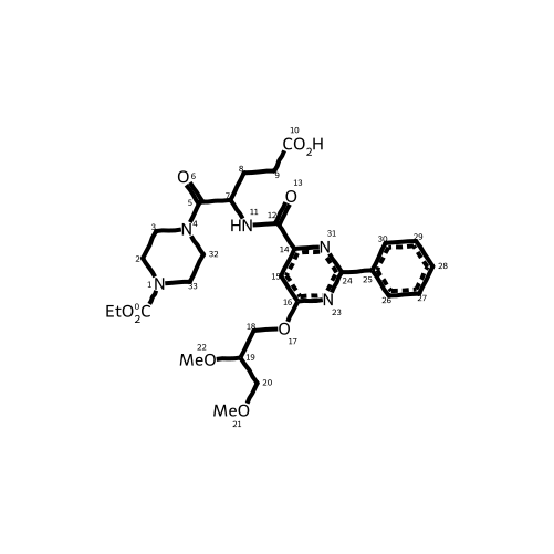 CCOC(=O)N1CCN(C(=O)C(CCC(=O)O)NC(=O)c2cc(OCC(COC)OC)nc(-c3ccccc3)n2)CC1